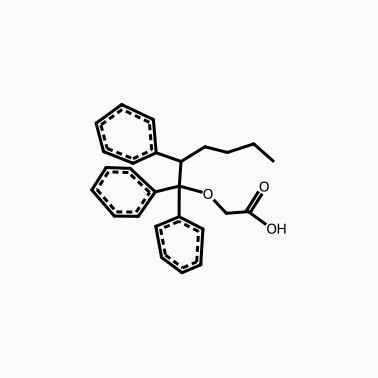 CCCCC(c1ccccc1)C(OCC(=O)O)(c1ccccc1)c1ccccc1